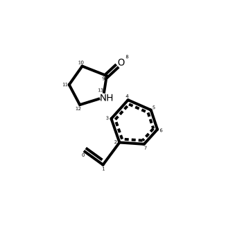 C=Cc1ccccc1.O=C1CCCN1